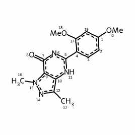 COc1ccc(-c2nc(=O)c3c([nH]2)c(C)nn3C)c(OC)c1